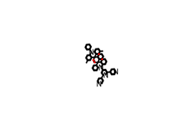 Cc1ccc2c(c1)C1(c3cc(C)ccc3N2c2ccccc2)c2ccccc2C2(c3ccccc3N(c3cc(-c4ccncc4)nc(-c4ccncc4)c3)c3ccccc32)c2ccccc21